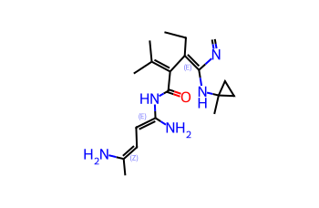 C=N/C(NC1(C)CC1)=C(\CC)C(C(=O)N/C(N)=C/C=C(/C)N)=C(C)C